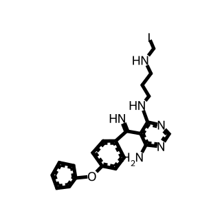 N=C(c1ccc(Oc2ccccc2)cc1)c1c(N)ncnc1NCCCNCI